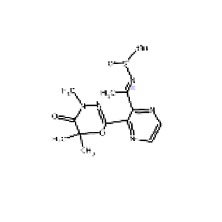 C/C(=N\[S+]([O-])C(C)(C)C)c1nccnc1C1=NN(C)C(=O)C(C)(C)O1